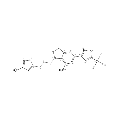 Cc1cc(CCCN2CCc3cc(-c4noc(C(F)(F)F)n4)cc(C)c32)on1